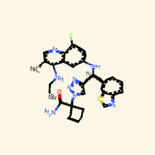 CC(C)(C)CNc1c(C#N)cnc2c(F)cc(N[C@H](c3cn(C4(C(N)=O)CCC4)nn3)c3cccc4ncsc34)cc12